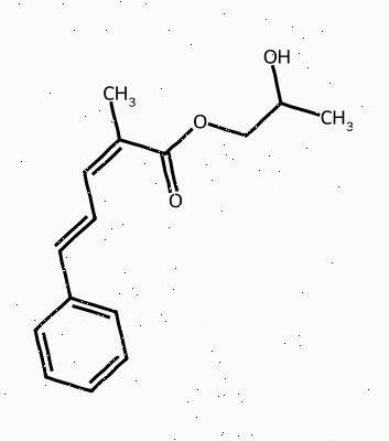 CC(=CC=Cc1ccccc1)C(=O)OCC(C)O